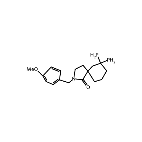 COc1ccc(CN2CCC3(CCCC(P)(P)C3)C2=O)cc1